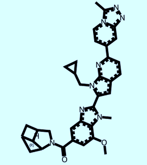 COc1cc(C(=O)N2CC3CC4CC2[C@H]43)cc2nc(-c3cc4ccc(-c5ccn6c(C)nnc6c5)nc4n3CC3CC3)n(C)c12